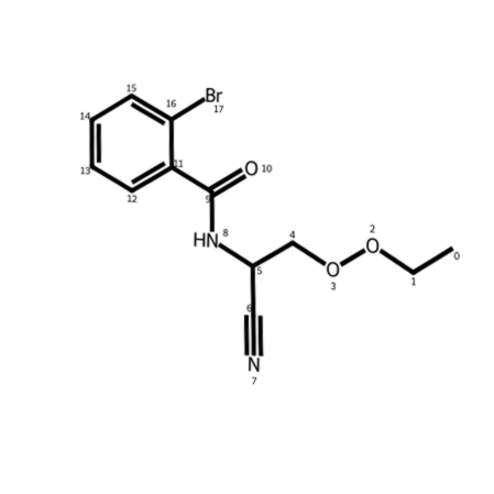 CCOOCC(C#N)NC(=O)c1ccccc1Br